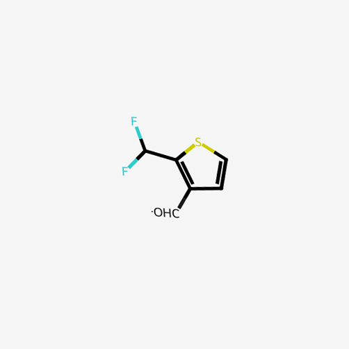 O=[C]c1ccsc1C(F)F